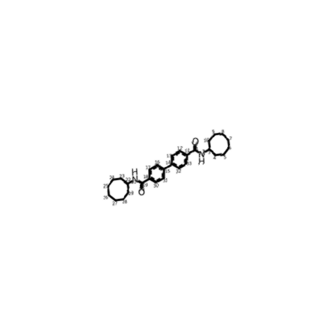 O=C(NC1CCCCCCC1)c1ccc(-c2ccc(C(=O)NC3CCCCCCC3)cc2)cc1